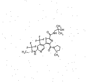 CC[C@@H](Nc1cc(C(F)(F)F)c(-c2sc(C(=O)NCC(C)(C)O)nc2C(=O)N2CCC[C@@H]2C)cn1)C(F)(F)F